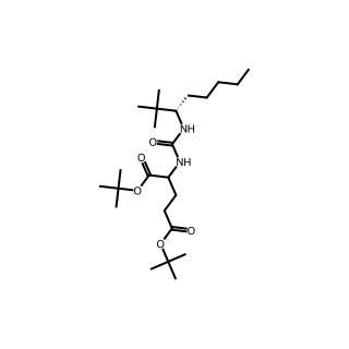 CCCCC[C@H](NC(=O)NC(CCC(=O)OC(C)(C)C)C(=O)OC(C)(C)C)C(C)(C)C